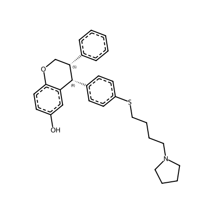 Oc1ccc2c(c1)[C@@H](c1ccc(SCCCCN3CCCC3)cc1)[C@@H](c1ccccc1)CO2